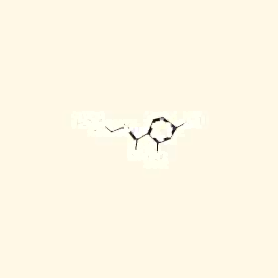 C/C(=N\CC(=O)O)c1ccc(O)cc1O